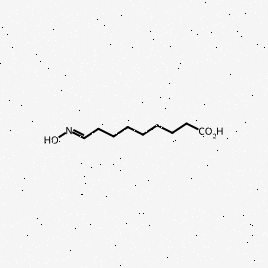 O=C(O)CCCCCCC/C=N/O